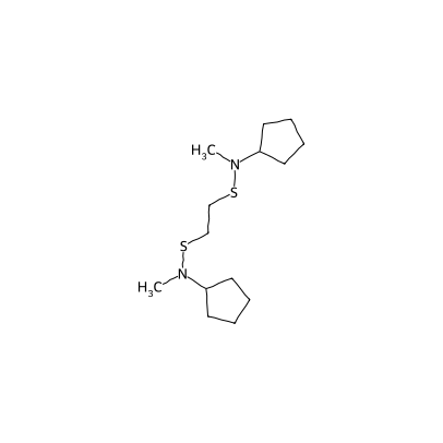 CN(SCCSN(C)C1CCCC1)C1CCCC1